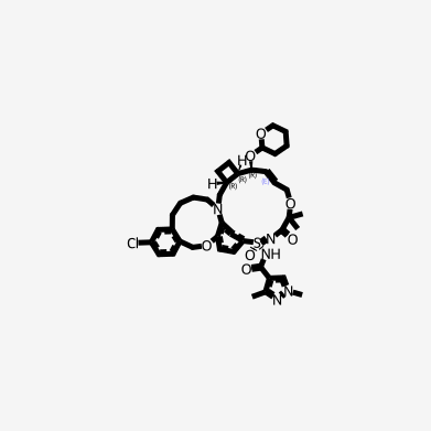 Cc1nn(C)cc1C(=O)NS1(=O)=NC(=O)C(C)(C)OC/C=C/[C@H](OC2CCCCO2)[C@@H]2CC[C@H]2CN2CCCCc3cc(Cl)ccc3COc3ccc1cc32